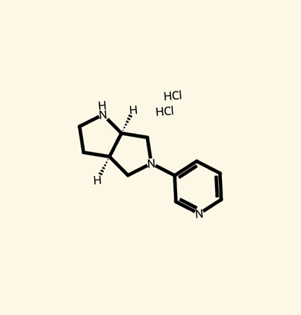 Cl.Cl.c1cncc(N2C[C@H]3CCN[C@H]3C2)c1